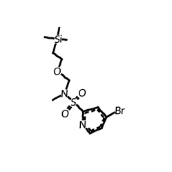 CN(COCC[Si](C)(C)C)S(=O)(=O)c1cc(Br)ccn1